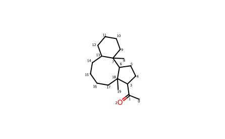 CC(=O)C1CCC2C3(C)CCCCC3CCCCC12C